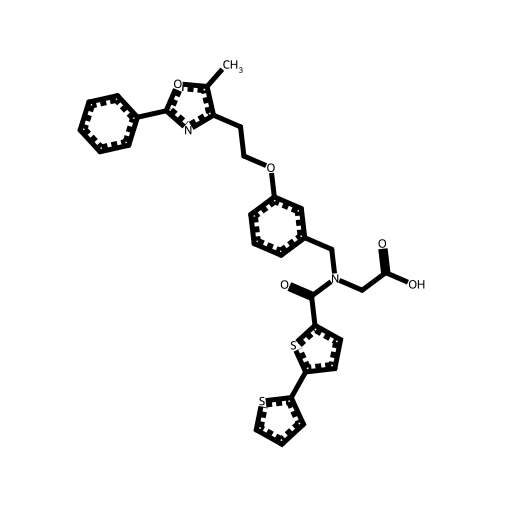 Cc1oc(-c2ccccc2)nc1CCOc1cccc(CN(CC(=O)O)C(=O)c2ccc(-c3cccs3)s2)c1